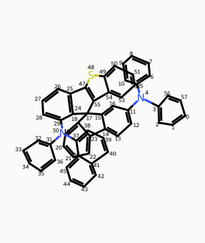 c1ccc(N(c2ccccc2)c2ccc3c(c2)C2(c4ccccc4-3)c3c(cccc3N(c3ccccc3)c3cccc4ccccc34)-c3sc4ccccc4c32)cc1